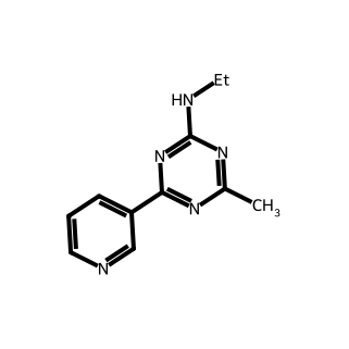 CCNc1nc(C)nc(-c2cccnc2)n1